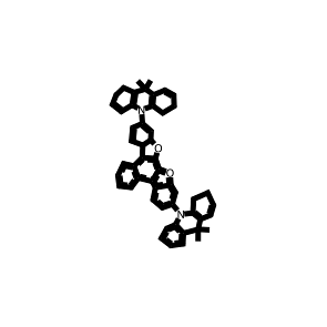 CC1(C)C2=C(CCC=C2)N(C2=CC3Oc4c(c5ccccc5c5c4oc4cc(N6C7=C(C=CCC7)C(C)(C)c7ccccc76)ccc45)C3C=C2)C2=C1CCC=C2